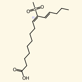 CCCC=C/C(=C\CCCCCCCC(=O)O)S(C)(=O)=O